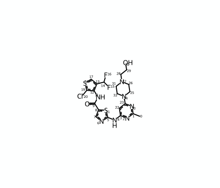 Cc1nc(Nc2ncc(C(=O)Nc3c(C(F)F)csc3Cl)s2)cc(N2CCN(CCO)CC2)n1